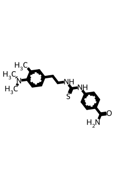 Cc1cc(CCNC(=S)Nc2ccc(C(N)=O)cc2)ccc1N(C)C